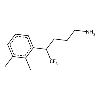 Cc1cccc(C(CCCN)C(F)(F)F)c1C